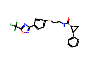 O=C(NCCOc1ccc(-c2noc(C(F)(F)F)n2)cc1)[C@@H]1C[C@H]1c1ccccc1